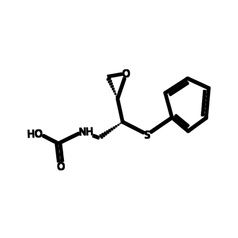 O=C(O)NC[C@@H](Sc1ccccc1)[C@@H]1CO1